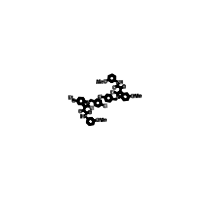 CCOc1ccc2c(c1)c(C(=O)C(=O)Nc1cccc(OC)c1)c(Cl)n2Cc1ccc(Cl)cc1.COc1cccc(NC(=O)C(=O)c2c(Cl)n(Cc3ccc(Cl)cc3)c3ccc(OC)cc23)c1